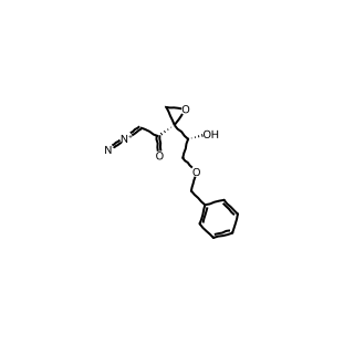 [N-]=[N+]=CC(=O)[C@]1([C@H](O)COCc2ccccc2)CO1